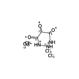 O=c1[nH][nH][nH]c(=O)c1=O.[Cl-].[Cl-].[Cl-].[Cr+3]